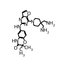 CC1(C)Oc2ccc(Nc3nc(N4CCC(CN)(CN)CC4)c4occc4n3)cc2NC1=O